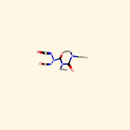 CCCCCCN(CCCCCC)C(=O)N(CCCCCC)C(=O)N(N=C=O)N=C=O